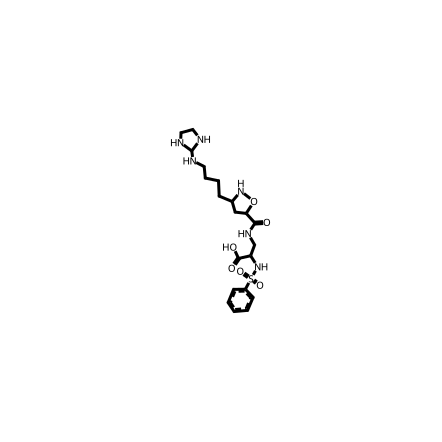 O=C(O)C(CNC(=O)C1CC(CCCCNC2NCCN2)NO1)NS(=O)(=O)c1ccccc1